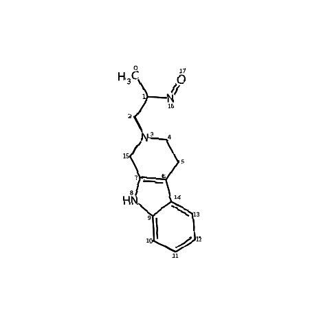 CC(CN1CCc2c([nH]c3ccccc23)C1)N=O